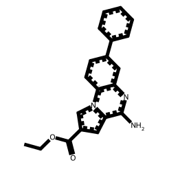 CCOC(=O)c1cc2c(N)nc3cc(-c4ccccc4)ccc3n2c1